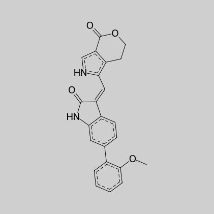 COc1ccccc1-c1ccc2c(c1)NC(=O)C2=Cc1[nH]cc2c1CCOC2=O